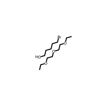 CCOCCOCCOCC.OCCCCCBr